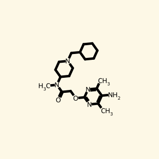 Cc1nc(OCC(=O)N(C)C2CCN(CC3CCCCC3)CC2)nc(C)c1N